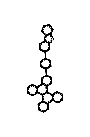 c1ccc2c(c1)sc1cc(-c3ccc(-c4ccc5c(c4)c4ccccc4c4c6ccccc6c6ccccc6c54)cc3)ccc12